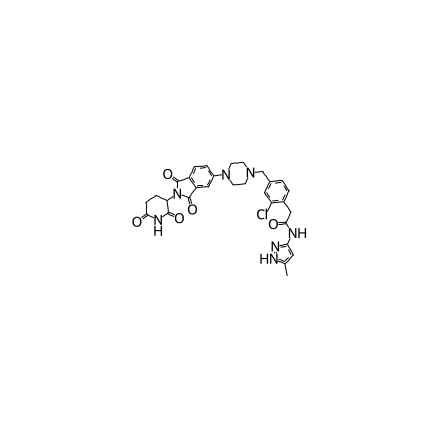 Cc1cc(NC(=O)Cc2ccc(CN3CCN(c4ccc5c(c4)C(=O)N(C4CCC(=O)NC4=O)C5=O)CC3)cc2Cl)n[nH]1